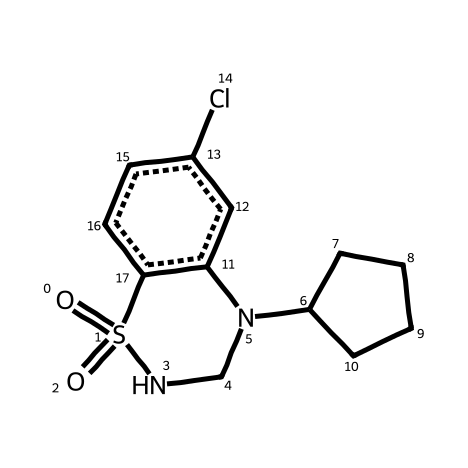 O=S1(=O)NCN(C2CCCC2)c2cc(Cl)ccc21